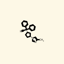 Cc1cn([C@@H]2CC[C@H](C(C#N)(c3ccccc3)c3ccccc3)C2)cn1